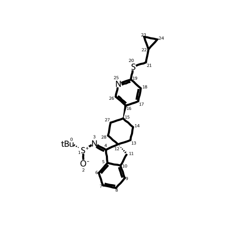 CC(C)(C)[S@@+]([O-])/N=C1\c2ccccc2C[C@]12CC[C@H](c1ccc(SCC3CC3)nc1)CC2